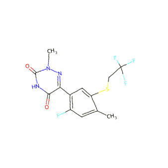 Cc1cc(F)c(-c2nn(C)c(=O)[nH]c2=O)cc1SCC(F)(F)F